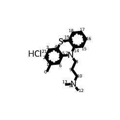 Cc1ccc2c(c1)N(CCCN(C)C)c1ccccc1S2.Cl